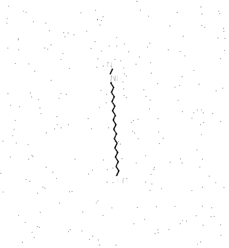 CCCCCCCCCCCCCCCCCCCCCCNCCN